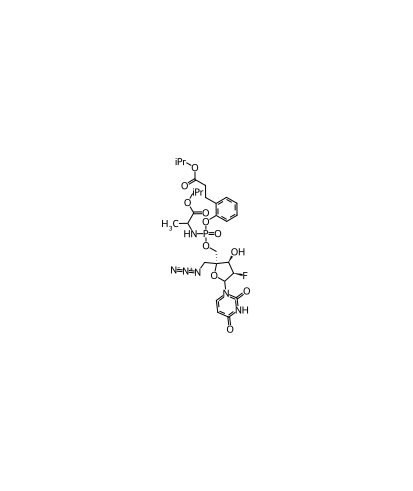 CC(C)OC(=O)CCc1ccccc1OP(=O)(NC(C)C(=O)OC(C)C)OC[C@@]1(CN=[N+]=[N-])OC(n2ccc(=O)[nH]c2=O)[C@H](F)[C@@H]1O